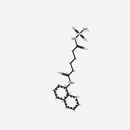 NS(=O)(=O)NC(=O)CCCCC(=O)Nc1cccc2cccnc12